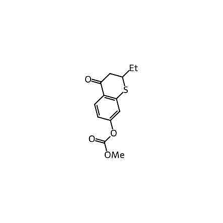 CCC1CC(=O)c2ccc(OC(=O)OC)cc2S1